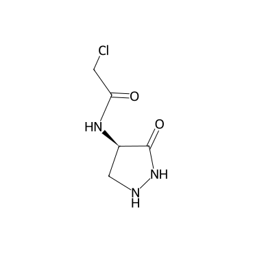 O=C(CCl)N[C@@H]1CNNC1=O